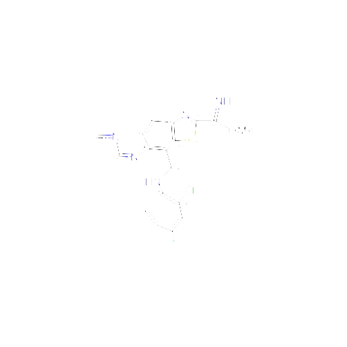 C=N/C=N\c1ccc2nc(C(=N)OC)sc2c1CNc1ccc(F)cc1Cl